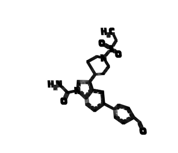 CCS(=O)(=O)N1CCC(c2cn(C(N)=O)c3ccc(-c4ccc(C=O)cc4)cc23)CC1